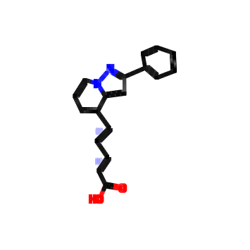 O=C(O)/C=C/C=C/c1cccn2nc(-c3ccccc3)cc12